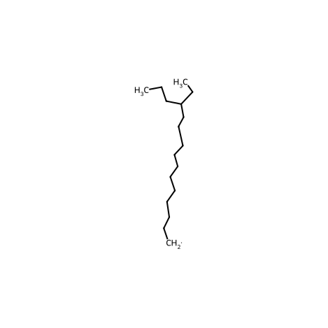 [CH2]CCCCCCCCCCC(CC)CCC